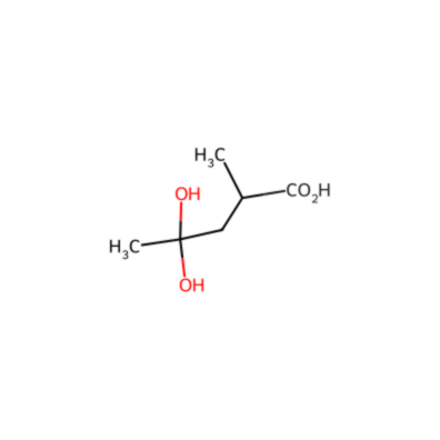 CC(CC(C)(O)O)C(=O)O